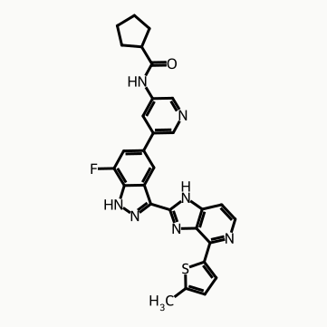 Cc1ccc(-c2nccc3[nH]c(-c4n[nH]c5c(F)cc(-c6cncc(NC(=O)C7CCCC7)c6)cc45)nc23)s1